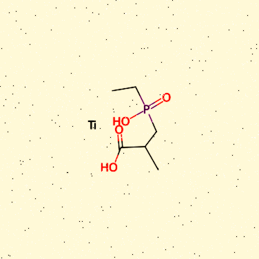 CCP(=O)(O)CC(C)C(=O)O.[Ti]